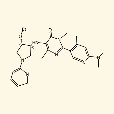 CCO[C@H]1CN(c2ccccn2)C[C@H]1Nc1c(C)nc(-c2cnc(N(C)C)cc2C)n(C)c1=O